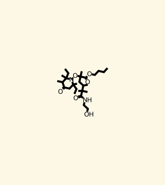 CCCCOC(=O)C(C)(CC(C)C(C)(C)C(=O)NCCO)ON1C(C)(CC)CC(=O)C(C)C1(C)CC